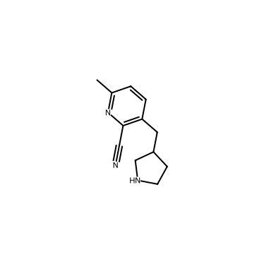 Cc1ccc(CC2CCNC2)c(C#N)n1